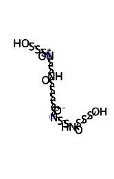 O=C(NCSCSC/N=C\[S+]([O-])CSCSCSCSC(=O)NCSCSC/N=C\[S+]([O-])CSCSCO)SCSCSCO